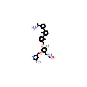 Cc1c(COc2cc(OCc3cncc(C#N)c3)c(CNCO)cc2Cl)cccc1-c1cccc(-c2cccc(C(C)N)c2)c1C